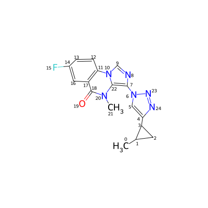 CC1CC1c1cn(-c2ncn3c4ccc(F)cc4c(=O)n(C)c23)nn1